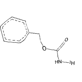 [2H]NC(=O)OCc1ccccc1